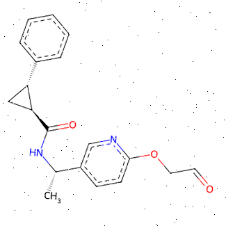 C[C@H](NC(=O)[C@H]1C[C@@H]1c1ccccc1)c1ccc(OCC=O)nc1